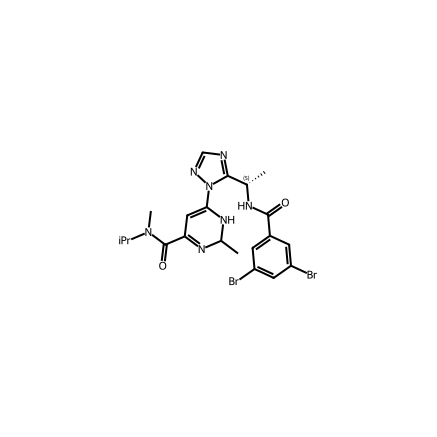 CC1N=C(C(=O)N(C)C(C)C)C=C(n2ncnc2[C@H](C)NC(=O)c2cc(Br)cc(Br)c2)N1